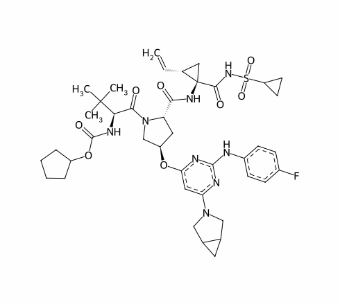 C=C[C@@H]1C[C@]1(NC(=O)[C@@H]1C[C@@H](Oc2cc(N3CC4CC4C3)nc(Nc3ccc(F)cc3)n2)CN1C(=O)[C@@H](NC(=O)OC1CCCC1)C(C)(C)C)C(=O)NS(=O)(=O)C1CC1